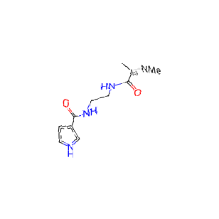 CN[C@@H](C)C(=O)NCCNC(=O)c1cc[nH]c1